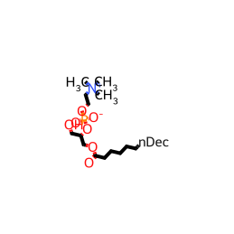 CCCCCCCCCCCCCCCC(=O)OCC(CO)OP(=O)([O-])OCC[N+](C)(C)C